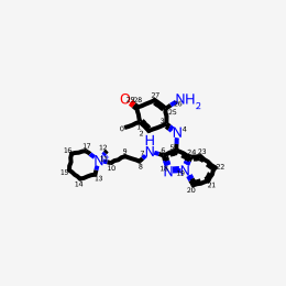 CC1=C/C(=N\c2c(NCCC[N+]3(C)CCCCC3)nn3ccccc23)C(N)=CC1=O